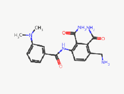 CN(C)c1cccc(C(=O)Nc2ccc(CN)c(C(N)=O)c2C(N)=O)c1